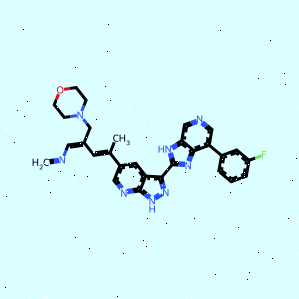 C=N/C=C(\C=C(/C)c1cnc2[nH]nc(-c3nc4c(-c5cccc(F)c5)cncc4[nH]3)c2c1)CN1CCOCC1